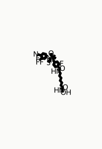 CC1(C)C(=O)N(c2ccc(C#N)c(C(F)(F)F)c2)C(=S)N1c1ccc(C(=O)NCCCCCCC(=O)NO)c(F)c1